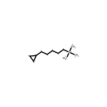 C[Si](C)(C)CCCCCC1CC1